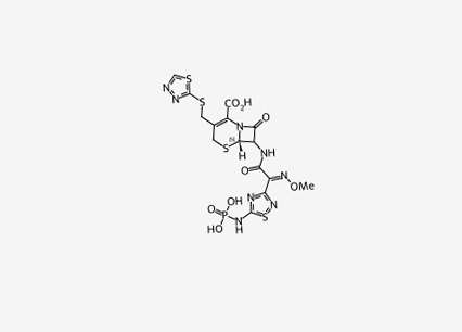 CON=C(C(=O)NC1C(=O)N2C(C(=O)O)=C(CSc3nncs3)CS[C@@H]12)c1nsc(NP(=O)(O)O)n1